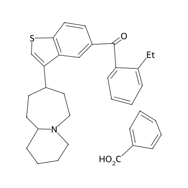 CCc1ccccc1C(=O)c1ccc2scc(C3CCC4CCCCN4CC3)c2c1.O=C(O)c1ccccc1